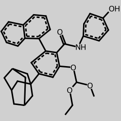 CCOC(OC)Oc1cc(C23CC4CC(CC(C4)C2)C3)cc(-c2cccc3ccccc23)c1C(=O)Nc1ccc(O)cc1